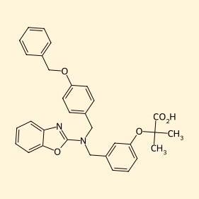 CC(C)(Oc1cccc(CN(Cc2ccc(OCc3ccccc3)cc2)c2nc3ccccc3o2)c1)C(=O)O